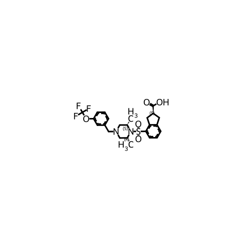 C[C@@H]1CN(Cc2cccc(OC(F)(F)F)c2)C[C@H](C)N1S(=O)(=O)c1cccc2c1C[C@@H](C(=O)O)C2